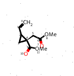 C=CC1C[C@@]1(CC(=O)OC)C(=O)OC